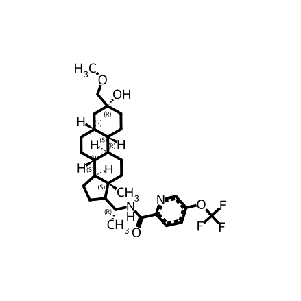 COC[C@@]1(O)CC[C@H]2[C@H](CC[C@@H]3[C@@H]2CC[C@]2(C)C([C@@H](C)NC(=O)c4ccc(OC(F)(F)F)cn4)CC[C@@H]32)C1